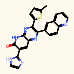 Cc1ccc(-c2nc3[nH]c(=O)c(-c4ncc[nH]4)cc3nc2-c2ccc3ncccc3c2)s1